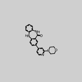 O=C1Nc2ccccc2Nc2ccc(-c3ccnc(N4CCOCC4)c3)cc21